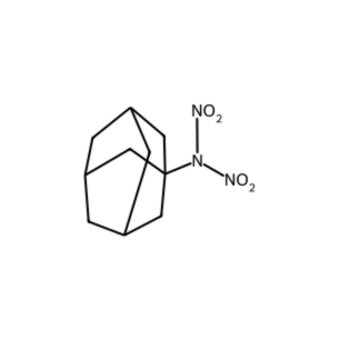 O=[N+]([O-])N([N+](=O)[O-])C12CC3CC(CC(C3)C1)C2